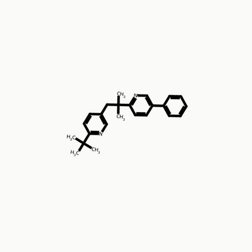 CC(C)(C)c1ccc(CC(C)(C)c2ccc(-c3ccccc3)cn2)cn1